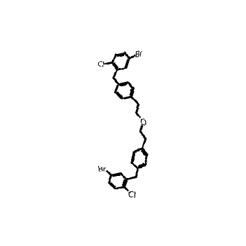 Clc1ccc(Br)cc1Cc1ccc(CCOCCc2ccc(Cc3cc(Br)ccc3Cl)cc2)cc1